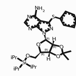 CC(C)[Si](OC[C@H]1O[C@@H](n2nc(Sc3ccccc3)c3c(N)ncnc32)[C@@H]2OC(C)(C)O[C@@H]21)(C(C)C)C(C)C